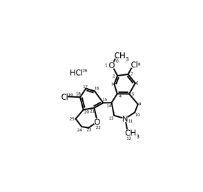 COc1cc2c(cc1Cl)CCN(C)CC2c1ccc(Cl)c2c1OCCC2.Cl